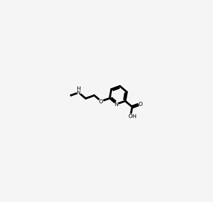 CNCCOc1cccc(C(=O)O)n1